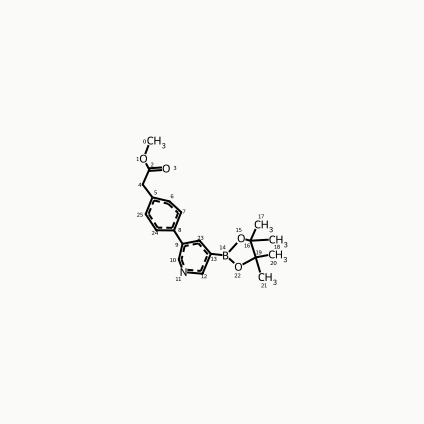 COC(=O)Cc1ccc(-c2cncc(B3OC(C)(C)C(C)(C)O3)c2)cc1